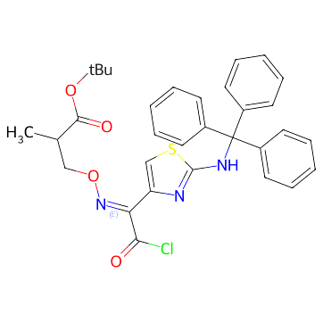 CC(CO/N=C(/C(=O)Cl)c1csc(NC(c2ccccc2)(c2ccccc2)c2ccccc2)n1)C(=O)OC(C)(C)C